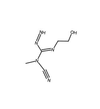 CN(C#N)C(N=N)=NCCO